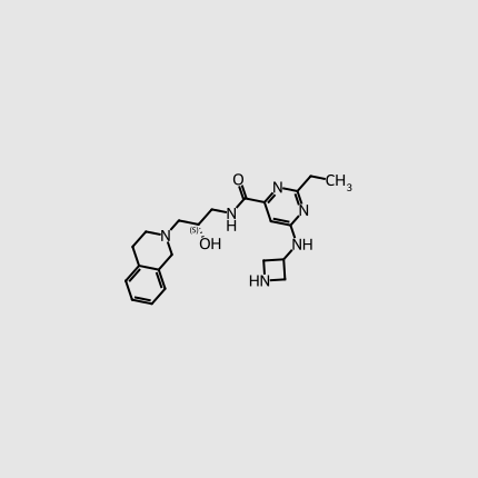 CCc1nc(NC2CNC2)cc(C(=O)NC[C@H](O)CN2CCc3ccccc3C2)n1